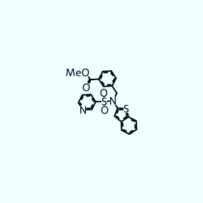 COC(=O)c1cccc(CN(c2cc3ccccc3s2)S(=O)(=O)c2cccnc2)c1